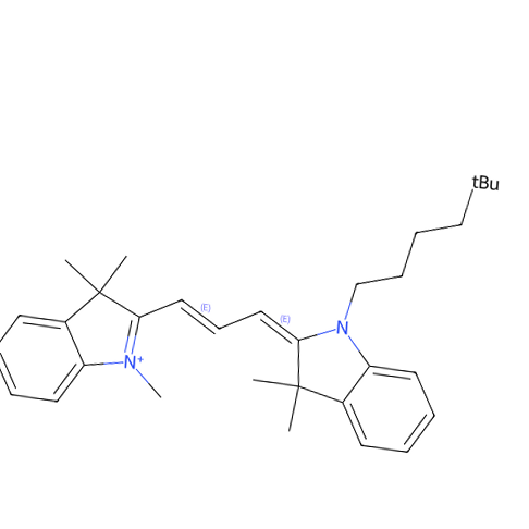 C[N+]1=C(/C=C/C=C2/N(CCCCC(C)(C)C)c3ccccc3C2(C)C)C(C)(C)c2ccccc21